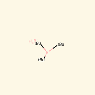 CC(C)(C)B(C(C)(C)C)C(C)(C)C.[BH4-]